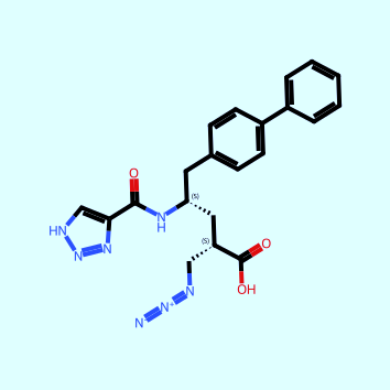 [N-]=[N+]=NC[C@H](C[C@@H](Cc1ccc(-c2ccccc2)cc1)NC(=O)c1c[nH]nn1)C(=O)O